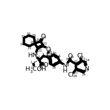 CC[C@@](Cc1ccc(NC(=O)c2c(Cl)cncc2Cl)cc1)(NC1=C(OC)C(=O)C12CCCCC2)C(=O)O